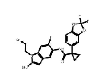 CC(C)CCn1c(C(C)(C)C)cc2cc(NC(=O)C3(c4ccc5c(c4)OC(F)(F)O5)CC3)c(F)cc21